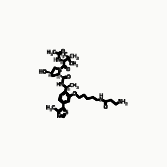 CC(=O)N[C@H](C(=O)N1C[C@H](O)C[C@H]1C(=O)N[C@@H](C)c1ccc(-c2scnc2C)cc1OCCCCCNC(=O)CCN)C(C)(C)C